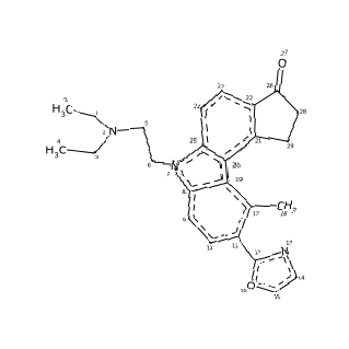 CCN(CC)CCn1c2ccc(-c3ncco3)c(C)c2c2c3c(ccc21)C(=O)CC3